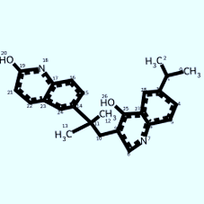 CC(C)c1ccc2ncc(CC(C)(C)c3ccc4nc(O)ccc4c3)c(O)c2c1